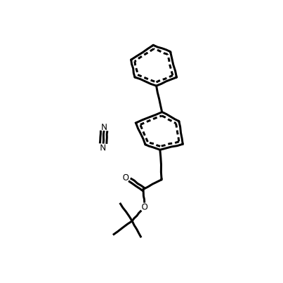 CC(C)(C)OC(=O)Cc1ccc(-c2ccccc2)cc1.N#N